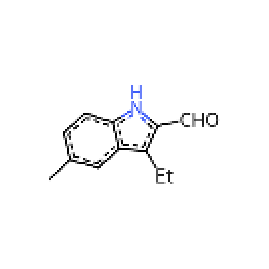 CCc1c(C=O)[nH]c2ccc(C)cc12